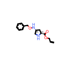 C=CCOC(=O)[C@@H]1C[C@@H](NOCc2ccccc2)CN1